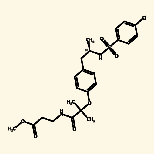 COC(=O)CCNC(=O)C(C)(C)Oc1ccc(C[C@@H](C)NS(=O)(=O)c2ccc(Cl)cc2)cc1